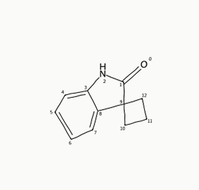 O=C1Nc2ccccc2C12CCC2